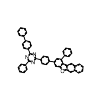 c1ccc(-c2ccc(-c3nc(-c4ccccc4)nc(-c4ccc(-c5cc(-c6ccccc6)c6c(c5)oc5cc7ccccc7cc56)cc4)n3)cc2)cc1